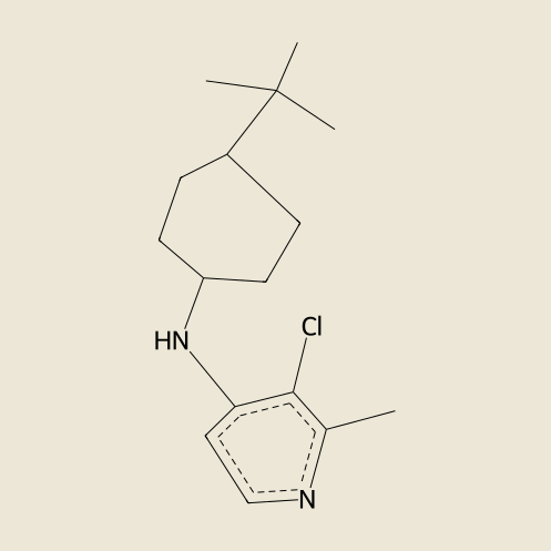 Cc1nccc(NC2CCC(C(C)(C)C)CC2)c1Cl